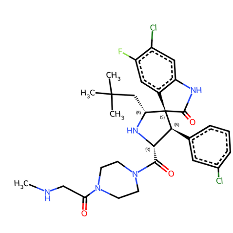 CNCC(=O)N1CCN(C(=O)[C@@H]2N[C@H](CC(C)(C)C)[C@]3(C(=O)Nc4cc(Cl)c(F)cc43)[C@H]2c2cccc(Cl)c2)CC1